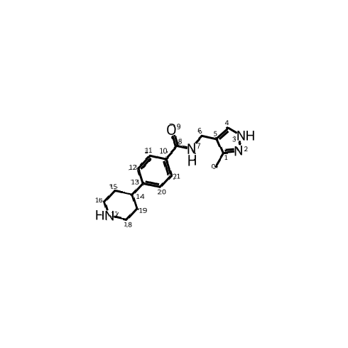 Cc1n[nH]cc1CNC(=O)c1ccc(C2CCNCC2)cc1